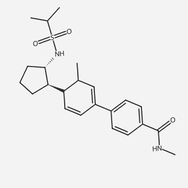 CNC(=O)c1ccc(C2=CC(C)C([C@H]3CCC[C@@H]3NS(=O)(=O)C(C)C)C=C2)cc1